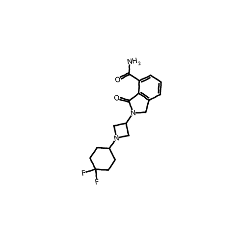 NC(=O)c1cccc2c1C(=O)N(C1CN(C3CCC(F)(F)CC3)C1)C2